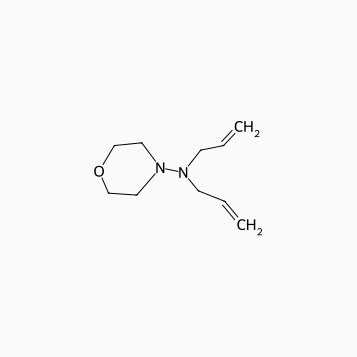 C=CCN(CC=C)N1CCOCC1